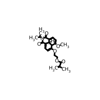 C=C(C)C(=O)OCCOC1=CC=C2C(=O)N(C(C)C)C(=O)C3=CC=C(OC)C1[C@@H]32